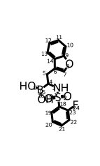 O=S(=O)(NC(Cc1coc2ccccc12)B(O)O)c1ccccc1F